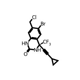 O=C1Nc2cc(CCl)c(Br)cc2[C@@](C#CC2CC2)(C(F)(F)F)N1